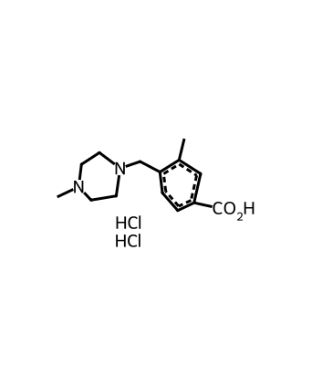 Cc1cc(C(=O)O)ccc1CN1CCN(C)CC1.Cl.Cl